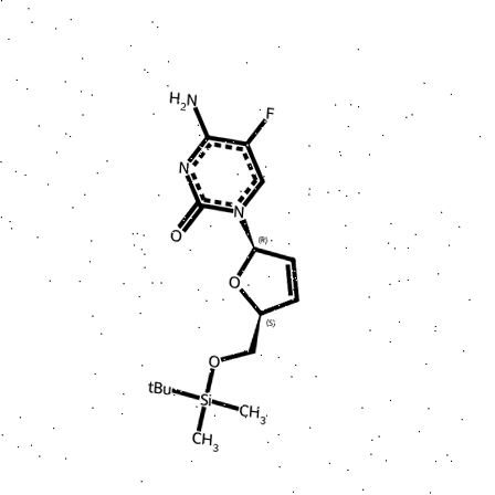 CC(C)(C)[Si](C)(C)OC[C@@H]1C=C[C@H](n2cc(F)c(N)nc2=O)O1